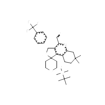 CC1(C)Cc2nc(C=O)c3c(c2[C@@H](O[Si](C)(C)C(C)(C)C)C1)C1(CCOCC1)O[C@@H]3c1ccc(C(F)(F)F)cc1